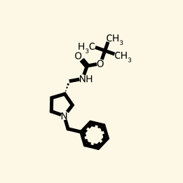 CC(C)(C)OC(=O)NC[C@H]1CCN(Cc2ccccc2)C1